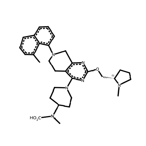 Cc1cccc2cccc(N3CCc4c(nc(OC[C@@H]5CCCN5C)nc4N4CCC(N(C)C(=O)O)CC4)C3)c12